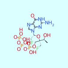 C[C@H](O)[C@@](CF)(COP(=O)(O)OP(=O)(O)OP(=O)(O)O)O[C@H](CF)n1cnc2c(=O)[nH]c(N)nc21